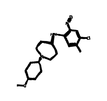 CO[C@H]1CC[C@@H](N2CCC(Nc3cc(C)c(Cl)cc3N=O)CC2)CC1